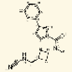 CN(C(=O)c1ccc(-c2ccccc2)s1)[C@H]1C[C@H](CNC#N)C1